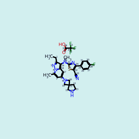 CCc1nn2c(C)cc(N3CC4(CCNC4)C3)cc2c1N(C)c1nc(-c2ccc(F)cc2)c(C#N)s1.O=C(O)C(F)(F)F